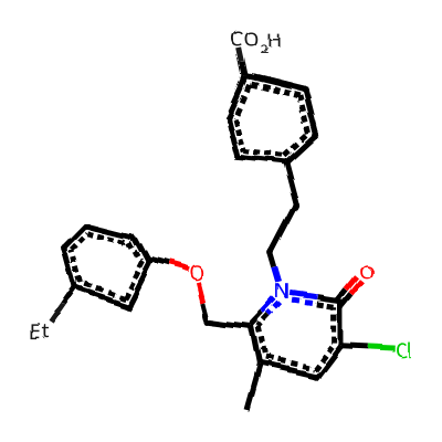 CCc1cccc(OCc2c(C)cc(Cl)c(=O)n2CCc2ccc(C(=O)O)cc2)c1